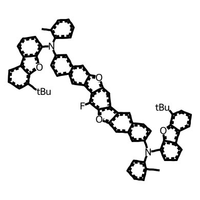 Cc1ccccc1N(c1ccc2cc3c(cc2c1)oc1c(F)c2c(cc13)oc1cc3cc(N(c4ccccc4C)c4cccc5c4oc4c(C(C)(C)C)cccc45)ccc3cc12)c1cccc2c1oc1c(C(C)(C)C)cccc12